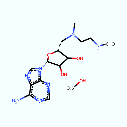 CN(CCNC=O)C[C@H]1O[C@@H](n2cnc3c(N)ncnc32)C(O)C1O.O=S(=O)(O)O